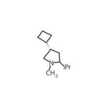 CC(C)C1C[C@@H](C2CCC2)CN1C